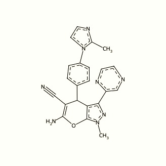 Cc1nccn1-c1ccc(C2C(C#N)=C(N)Oc3c2c(-c2cnccn2)nn3C)cc1